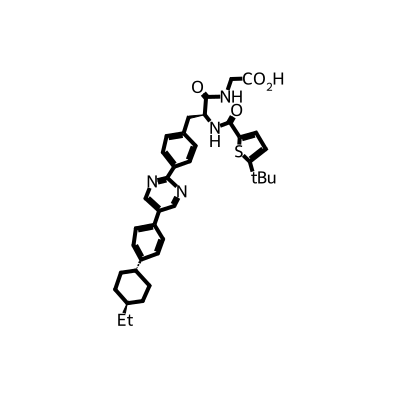 CC[C@H]1CC[C@H](c2ccc(-c3cnc(-c4ccc(C[C@H](NC(=O)c5ccc(C(C)(C)C)s5)C(=O)NCC(=O)O)cc4)nc3)cc2)CC1